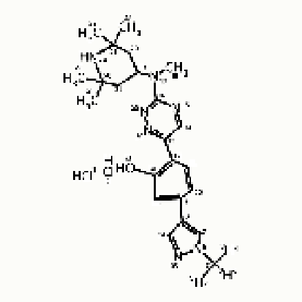 Cl.Cl.[2H]C([2H])([2H])n1cc(-c2ccc(-c3cnc(N(C)C4CC(C)(C)NC(C)(C)C4)nn3)c(O)c2)cn1